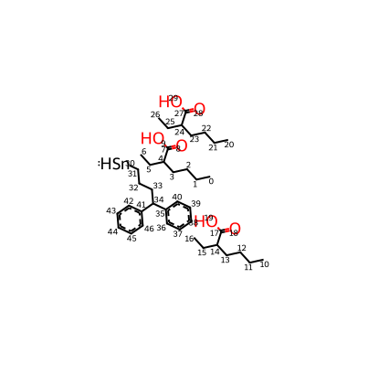 CCCCC(CC)C(=O)O.CCCCC(CC)C(=O)O.CCCCC(CC)C(=O)O.[SnH][CH2]CCC(c1ccccc1)c1ccccc1